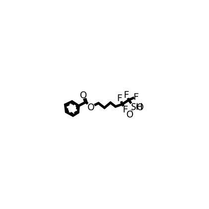 O=C(OCCCCC(F)(F)C(F)(F)[SH](=O)=O)c1ccccc1